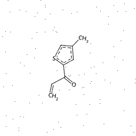 C=CC(=O)c1cc(C)cs1